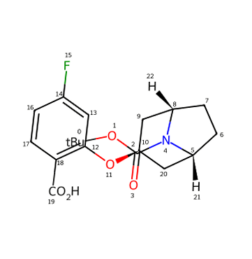 CC(C)(C)OC(=O)N1[C@@H]2CC[C@H]1C[C@H](Oc1cc(F)ccc1C(=O)O)C2